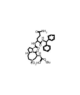 CC(C)(C)OC(=O)N[C@H]1CN(C(=O)O)CC[C@H]2CC[C@@H](C(=O)NC(CCC(N)=O)C(=O)NC(c3ccccc3)c3ccccc3)N2C1=O